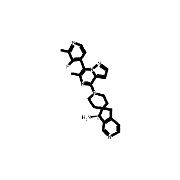 Cc1nccc(-c2c(C)nc(N3CCC4(CC3)Cc3ccncc3[C@H]4N)c3ccnn23)c1F